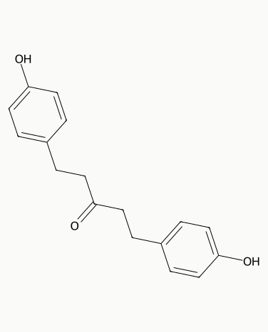 O=C(CCc1ccc(O)cc1)CCc1ccc(O)cc1